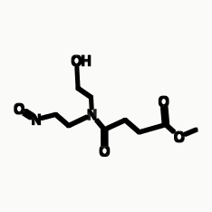 COC(=O)CCC(=O)N(CCO)CCN=O